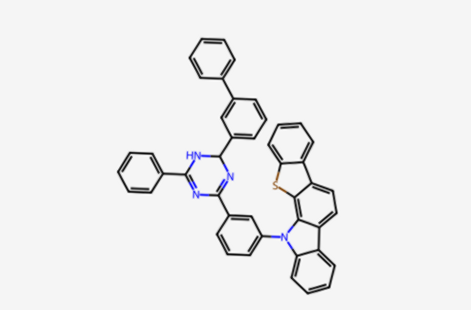 c1ccc(C2=NC(c3cccc(-n4c5ccccc5c5ccc6c7ccccc7sc6c54)c3)=NC(c3cccc(-c4ccccc4)c3)N2)cc1